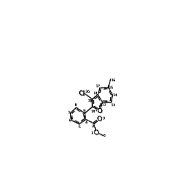 COC(=O)c1ccccc1-c1oc2ccc(C)cc2c1Cl